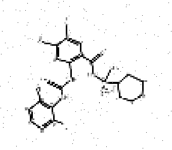 C[C@@](NC(=O)c1cc(Cl)c(Cl)cc1NC(=O)Nc1c(Cl)cccc1Cl)(C(=O)O)C1CCCCC1